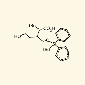 CC(C)(C)N(C(=O)O)C(CCO)CO[Si](c1ccccc1)(c1ccccc1)C(C)(C)C